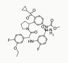 CCOc1cc([C@@H](Nc2cc(C(N)=O)ccc2F)C(=O)N2CCCC2c2cc(NC(=O)OC)ccc2S(=O)(=O)C2CC2)ccc1F